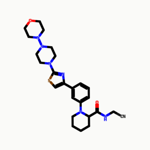 N#CCNC(=O)C1CCCCN1c1cccc(-c2csc(N3CCN(N4CCOCC4)CC3)n2)c1